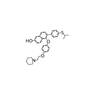 CC(C)Sc1ccc(-c2ccc3cc(O)ccc3c2Oc2ccc(OCCN3CCCCC3)cc2)cc1